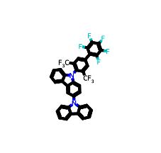 Fc1c(F)c(F)c(-c2cc(C(F)(F)F)c(-n3c4ccccc4c4cc(-n5c6ccccc6c6ccccc65)ccc43)c(C(F)(F)F)c2)c(F)c1F